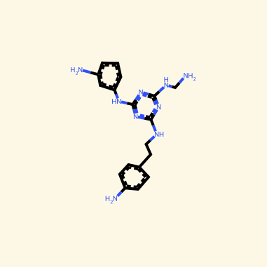 NCNc1nc(NCCc2ccc(N)cc2)nc(Nc2cccc(N)c2)n1